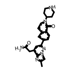 Cc1cn2nc(-c3ccc4c(=O)n(C5CCNCC5)ccc4c3)cc(CC(N)=O)c2n1